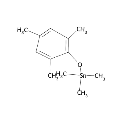 Cc1cc(C)c([O][Sn]([CH3])([CH3])[CH3])c(C)c1